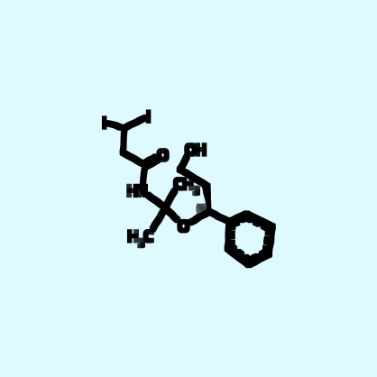 CC(C)(NC(=O)CC(I)I)O[C@@H](CCO)c1ccccc1